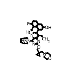 C#Cc1c(F)ccc2cc(O)cc(-c3cnc4c(N5CC6CCC(C5)N6)nc(OCC5(CN6CCOCC6)CC5)nc4c3C=C)c12